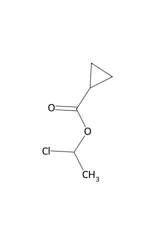 CC(Cl)OC(=O)C1CC1